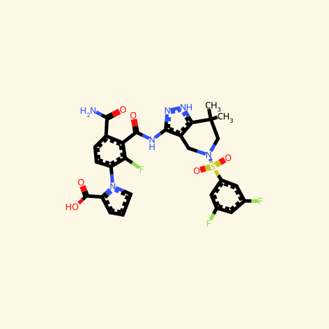 CC1(C)CN(S(=O)(=O)c2cc(F)cc(F)c2)Cc2c(NC(=O)c3c(C(N)=O)ccc(-n4cccc4C(=O)O)c3F)n[nH]c21